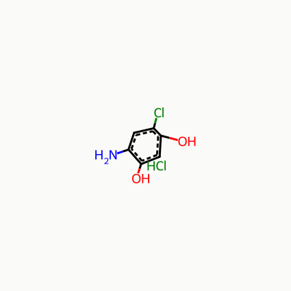 Cl.Nc1cc(Cl)c(O)cc1O